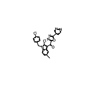 Cc1ccc2c(c1)c(C(=O)c1nnc(-c3ccnnc3)o1)c(Cl)n2Cc1ccc(Cl)cc1